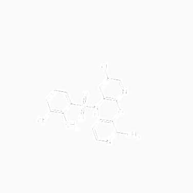 Cc1ncccc1Oc1ncc(Cl)cc1NS(=O)(=O)c1cccc(Cl)c1C